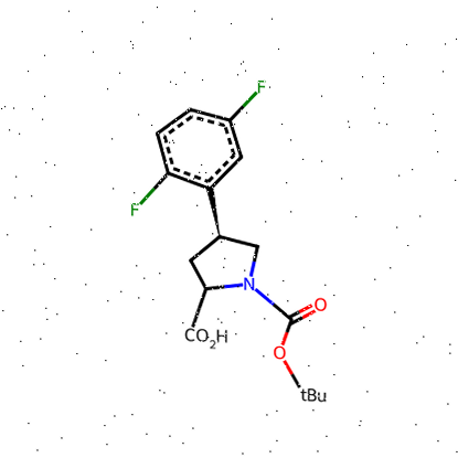 CC(C)(C)OC(=O)N1C[C@H](c2cc(F)ccc2F)CC1C(=O)O